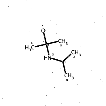 CC(C)NC(C)(C)[O]